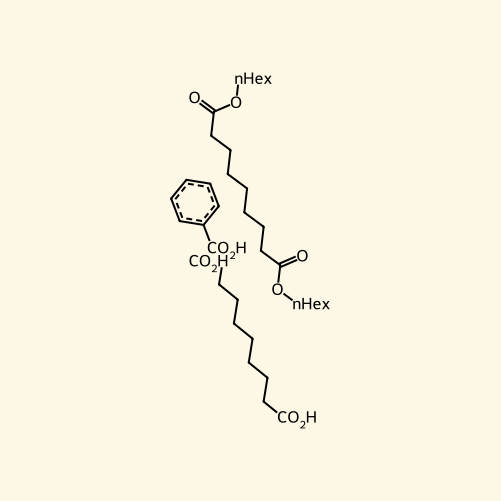 CCCCCCOC(=O)CCCCCCCC(=O)OCCCCCC.O=C(O)CCCCCCCC(=O)O.O=C(O)c1ccccc1